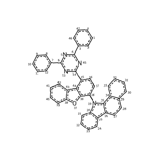 c1ccc(-c2nc(-c3ccccc3)nc(-c3ccc(-n4c5ccccc5c5ccc6ccccc6c54)c4oc5ccccc5c34)n2)cc1